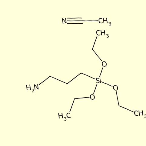 CC#N.CCO[Si](CCCN)(OCC)OCC